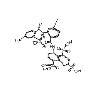 Cc1ccc(C(=O)Nc2ccc(S(=O)(=O)O)c3cc(S(=O)(=O)O)cc(S(=O)(=O)O)c23)c(NC(=O)c2ccc(N)cc2S(=O)(=O)O)c1